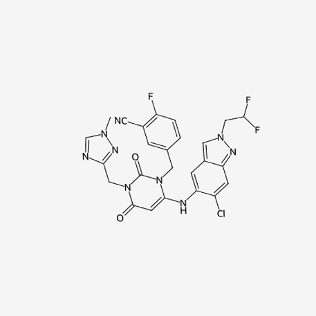 Cn1cnc(Cn2c(=O)cc(Nc3cc4cn(CC(F)F)nc4cc3Cl)n(Cc3ccc(F)c(C#N)c3)c2=O)n1